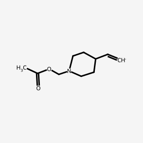 [CH]=CC1CCN(COC(C)=O)CC1